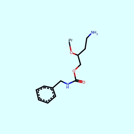 CC(C)OC(CCN)COC(=O)NCc1ccccc1